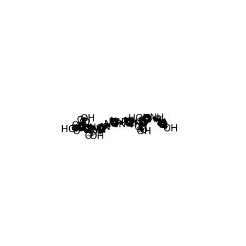 Cc1cc(N=Nc2cc(C)c(N=Nc3c(S(=O)(=O)O)cc4cc(NCOc5ccc(O)cc5)ccc4c3O)cc2C)ccc1N=Nc1ccc(N=Nc2cc3c(S(=O)(=O)O)cc(S(=O)(=O)O)cc3cc2S(=O)(=O)O)c(C)c1